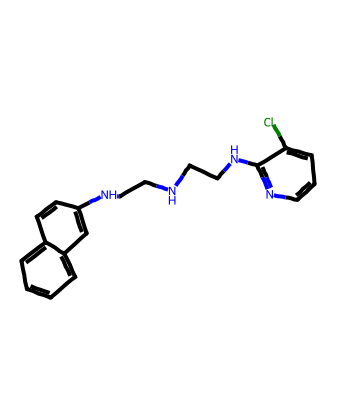 Clc1cccnc1NCCNCCNc1ccc2ccccc2c1